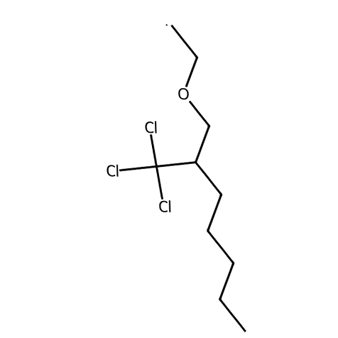 [CH2]COCC(CCCCC)C(Cl)(Cl)Cl